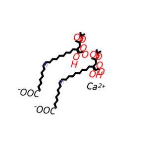 CC1(C)OCC(C2OC(=O)C(O)=C2CCCCCCCC/C=C\CCCCCCCC(=O)[O-])O1.CC1(C)OCC(C2OC(=O)C(O)=C2CCCCCCCC/C=C\CCCCCCCC(=O)[O-])O1.[Ca+2]